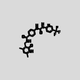 Cc1cc(C)c(CNC(=O)c2ccc(NC(=O)Nc3ccc(C(F)(F)F)cn3)cc2)c(=O)[nH]1